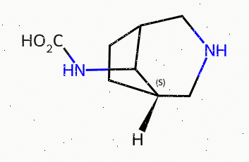 O=C(O)NC1C2CC[C@H]1CNC2